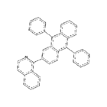 c1ccc(-c2c3ccccc3c(-c3ccccc3)c3cc(-c4nccc5ccccc45)ccc23)cc1